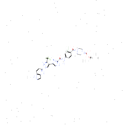 Cn1c(-c2cn(-c3ccc4c(ccn4C)n3)nc2C(F)(F)F)cnc1C(=O)Nc1ccc(C(=O)N2CCN(C(=O)OC(C)(C)C)CC2)c(Cl)c1